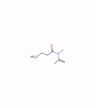 C=C(C)N(C)C(=O)CCC(=O)O